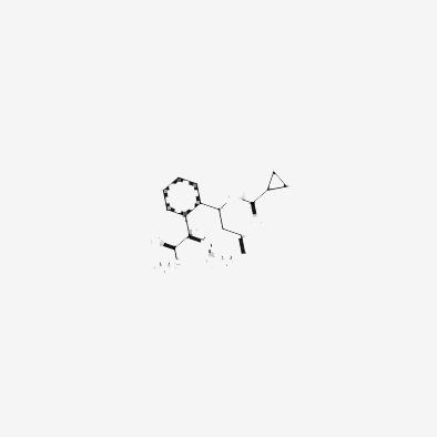 C=CCC(OC(=O)C1CC1)c1ccccc1C(=NOC)C(=O)OC